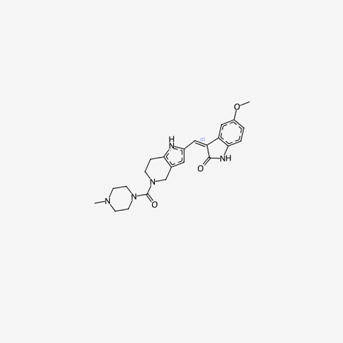 COc1ccc2c(c1)/C(=C/c1cc3c([nH]1)CCN(C(=O)N1CCN(C)CC1)C3)C(=O)N2